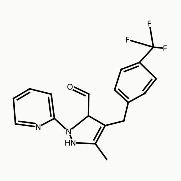 CC1=C(Cc2ccc(C(F)(F)F)cc2)C(C=O)N(c2ccccn2)N1